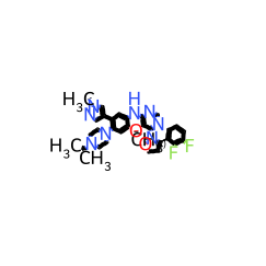 COc1cc(N2CCN(C(C)C)CC2)c(-c2cnn(C)c2)cc1Nc1cc(N2OCC[C@@H]2c2cccc(F)c2F)ncn1